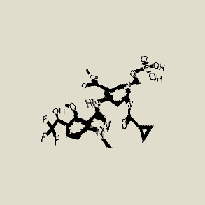 COC(=O)c1cn(COP(=O)(O)O)/c(=N/C(=O)C2CC2)cc1Nc1nn(C)c2ccc([C@H](O)C(F)(F)F)c(OC)c12